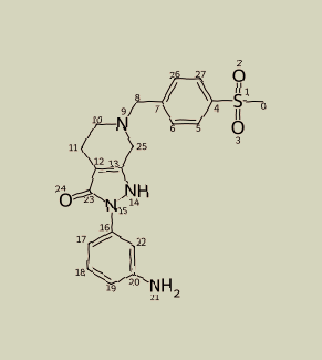 CS(=O)(=O)c1ccc(CN2CCc3c([nH]n(-c4cccc(N)c4)c3=O)C2)cc1